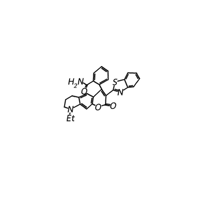 CCN1CCCc2cc3c(-c4ccccc4C(N)=O)c(-c4nc5ccccc5s4)c(=O)oc3cc21